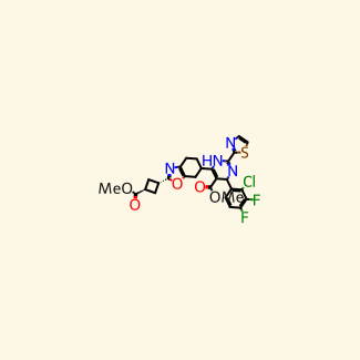 COC(=O)C1=C(C2CCc3nc([C@H]4C[C@H](C(=O)OC)C4)oc3C2)NC(c2nccs2)=NC1c1ccc(F)c(F)c1Cl